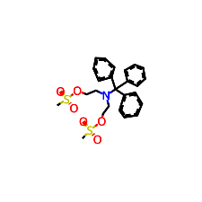 CS(=O)(=O)OCCN(CCOS(C)(=O)=O)C(c1ccccc1)(c1ccccc1)c1ccccc1